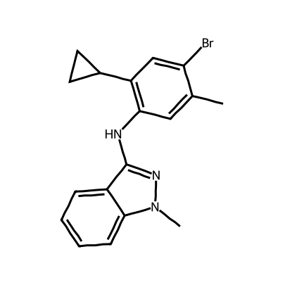 Cc1cc(Nc2nn(C)c3ccccc23)c(C2CC2)cc1Br